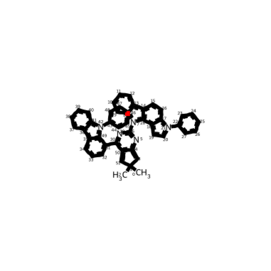 CC1(C)C=c2nc(-n3c4ccccc4c4ccc5c(ccn5-c5ccccc5)c43)nc(-c3cccc4c5ccccc5n(-c5ccccc5)c34)c2=C1